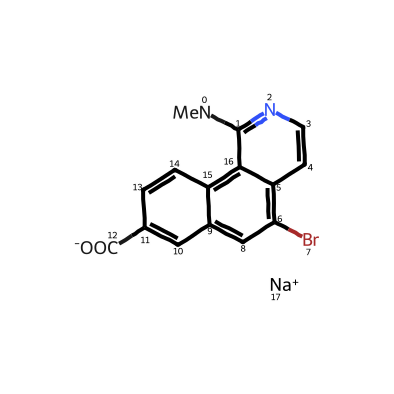 CNc1nccc2c(Br)cc3cc(C(=O)[O-])ccc3c12.[Na+]